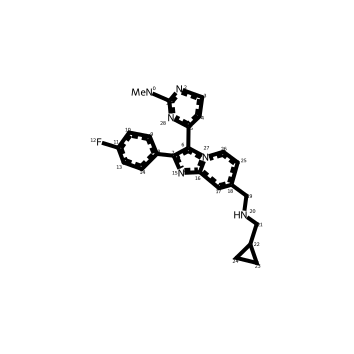 CNc1nccc(-c2c(-c3ccc(F)cc3)nc3cc(CNCC4CC4)ccn23)n1